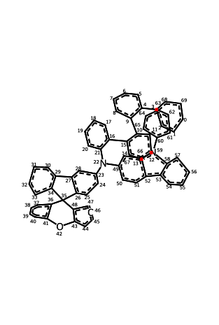 c1ccc(-c2ccccc2-c2ccccc2-c2ccccc2N(c2ccc3c(c2)-c2ccccc2C32c3ccccc3Oc3ccccc32)c2ccc3c4ccccc4n(-c4ccccc4)c3c2)cc1